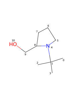 CC(C)(C)N1CCCC1CO